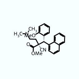 COC(=O)[C@@](C#N)(CCN(C)C)[C@H](c1ccccc1OC)c1cccc2ccccc12